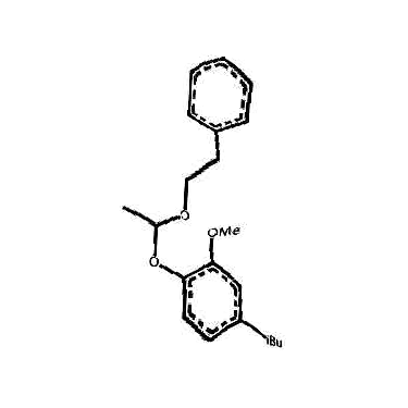 CCC(C)c1ccc(OC(C)OCCc2ccccc2)c(OC)c1